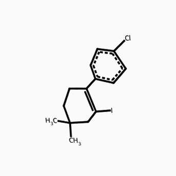 CC1(C)CCC(c2ccc(Cl)cc2)=C(I)C1